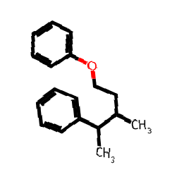 CC(CCOc1ccccc1)C(C)c1ccccc1